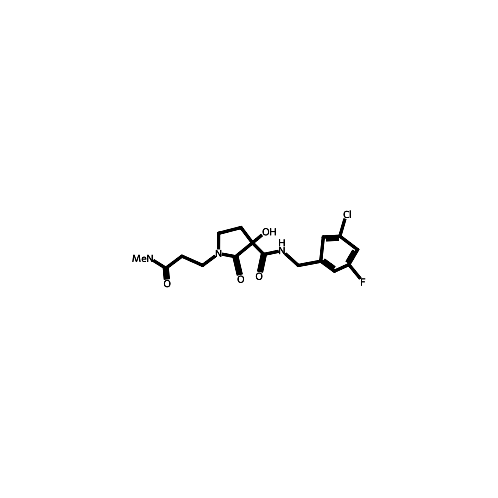 CNC(=O)CCN1CCC(O)(C(=O)NCc2cc(F)cc(Cl)c2)C1=O